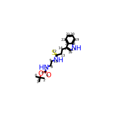 CC(C)(C)OC(=O)NCCNC(=S)CCc1c[nH]c2ccccc12